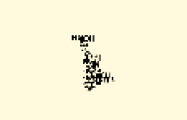 CCCCc1nc(Cl)c(C(=O)OCCCCON(O)O)n1Cc1ccc(-c2ccccc2-c2nn[nH]n2)cc1